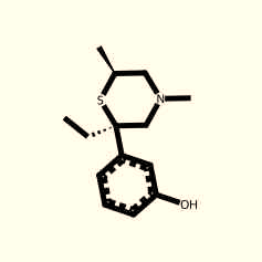 CC[C@@]1(c2cccc(O)c2)CN(C)C[C@H](C)S1